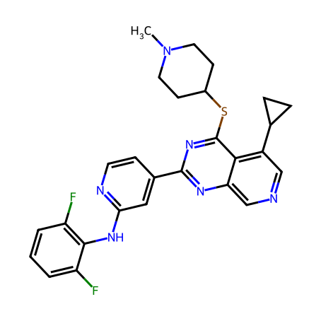 CN1CCC(Sc2nc(-c3ccnc(Nc4c(F)cccc4F)c3)nc3cncc(C4CC4)c23)CC1